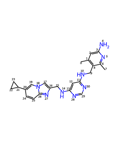 Cc1cc(N)nc(C)c1CNc1cc(NCc2cn3cc(C4CC4)ccc3n2)ncn1